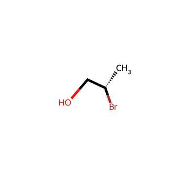 C[C@H](Br)CO